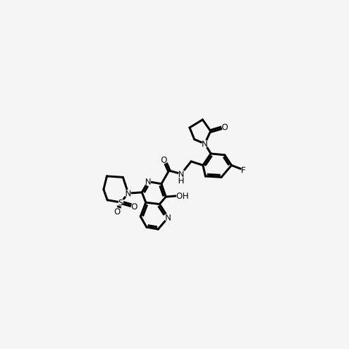 O=C(NCc1ccc(F)cc1N1CCCC1=O)c1nc(N2CCCCS2(=O)=O)c2cccnc2c1O